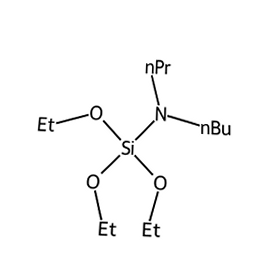 CCCCN(CCC)[Si](OCC)(OCC)OCC